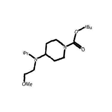 COCCN(C(C)C)C1CCN(C(=O)OC(C)(C)C)CC1